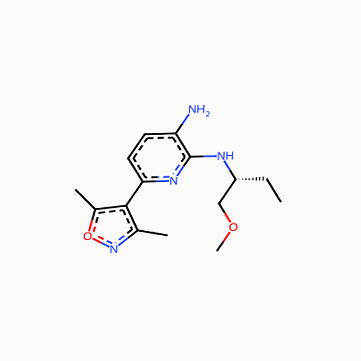 CC[C@H](COC)Nc1nc(-c2c(C)noc2C)ccc1N